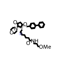 COCCCNC(=O)CCC/C=C\C[C@H]1[C@@H](OCc2ccc(-c3ccccc3)cc2)CC(=O)[C@@H]1N1CCOCC1